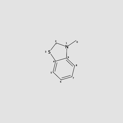 CN1[CH]Sc2ccccc21